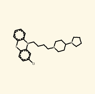 Clc1ccc2c(c1)N(CCCCN1CCC(N3CCCC3)CC1)c1ccccc1S2